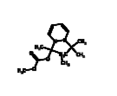 CCC(C)(OC(=O)OC)N1C=CC=CN1C(C)(C)C